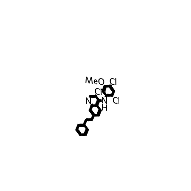 COc1cc(Nc2c(C#N)cnc3cc(C=Cc4ccccc4)ccc23)c(Cl)cc1Cl